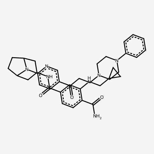 NC(=O)c1ccc(C(=O)NC2CC3CCC(C2)N3c2ccc(C(=O)CCN3CCN(c4ccccc4)CC3)cn2)cc1NCC1CC1